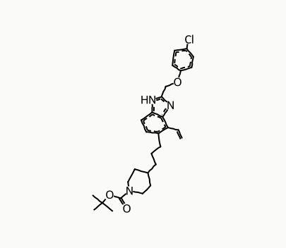 C=Cc1c(CCCC2CCN(C(=O)OC(C)(C)C)CC2)ccc2[nH]c(COc3ccc(Cl)cc3)nc12